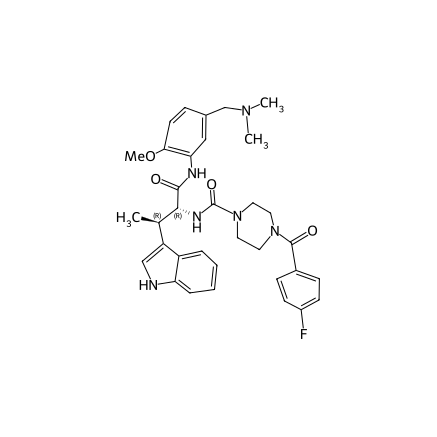 COc1ccc(CN(C)C)cc1NC(=O)[C@H](NC(=O)N1CCN(C(=O)c2ccc(F)cc2)CC1)[C@H](C)c1c[nH]c2ccccc12